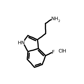 Cl.NCCc1c[nH]c2cccc(F)c12